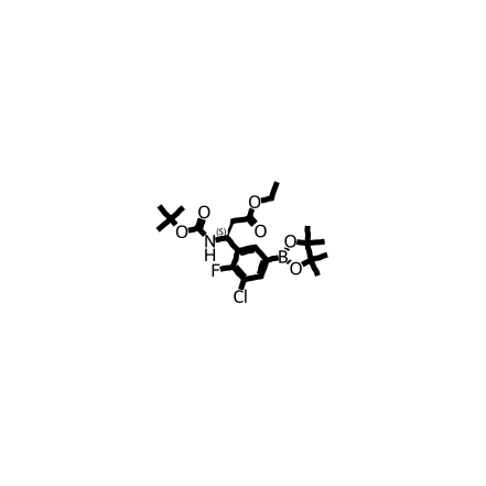 CCOC(=O)C[C@H](NC(=O)OC(C)(C)C)c1cc(B2OC(C)(C)C(C)(C)O2)cc(Cl)c1F